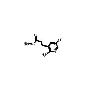 CC(C)(C)OC(=O)CCc1cc(Cl)cnc1N